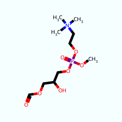 COP(=O)(OCC[N+](C)(C)C)OCC(O)COC=O